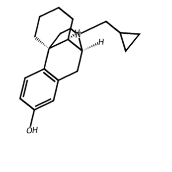 Oc1ccc2c(c1)C[C@H]1[C@@H]3CCCC[C@@]23CCN1CC1CC1